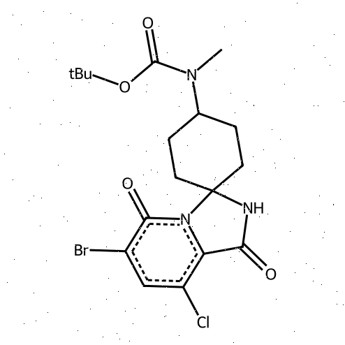 CN(C(=O)OC(C)(C)C)C1CCC2(CC1)NC(=O)c1c(Cl)cc(Br)c(=O)n12